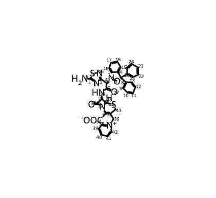 Nc1nc(/C(=N/OC(c2ccccc2)(c2ccccc2)c2ccccc2)C(=O)NC2C(=O)N3C(C(=O)[O-])=C(C[n+]4ccccc4)CS[C@H]23)ns1